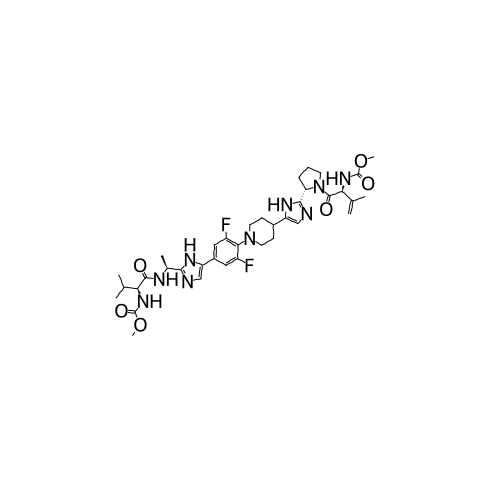 C=C(C)[C@H](NC(=O)OC)C(=O)N1CCC[C@H]1c1ncc(C2CCN(c3c(F)cc(-c4cnc([C@H](C)NC(=O)[C@@H](NC(=O)OC)C(C)C)[nH]4)cc3F)CC2)[nH]1